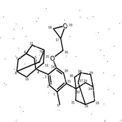 Cc1cc(C23CC4CC(CC(C4)C2)C3)c(OCC2CO2)cc1C12CC3CC(CC(C3)C1)C2